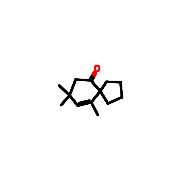 CC1=CC(C)(C)CC(=O)C12CCCC2